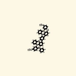 CC(C)(C)c1ccc2c(c1)B1c3ccccc3-n3c4cc5c(cc4c4ccc(c1c43)O2)c1ccc2c3c1n5-c1ccccc1B3c1cc(C(C)(C)C)ccc1N2c1ccccc1